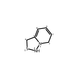 C1=CCN2NSCC2=C1